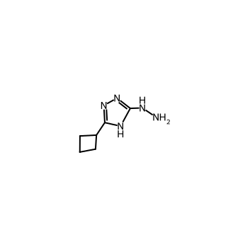 NNc1nnc(C2CCC2)[nH]1